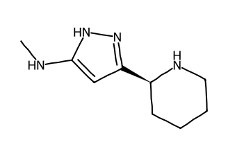 CNc1cc([C@@H]2CCCCN2)n[nH]1